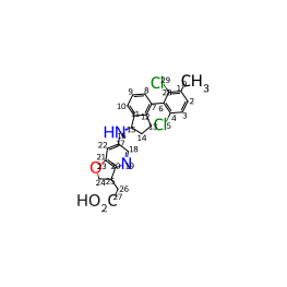 Cc1ccc(Cl)c(-c2cccc3c2CC[C@H]3Nc2cnc3c(c2)OCC3CC(=O)O)c1Cl